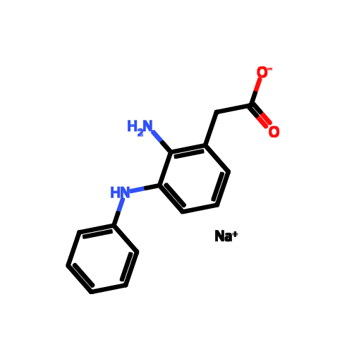 Nc1c(CC(=O)[O-])cccc1Nc1ccccc1.[Na+]